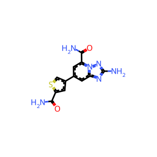 NC(=O)c1cc(-c2cc(C(N)=O)n3nc(N)nc3c2)cs1